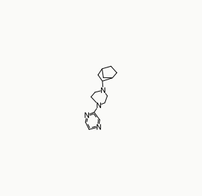 c1cnc(N2CCN(C3CC4CCC3C4)CC2)cn1